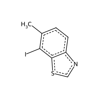 Cc1ccc2ncsc2c1I